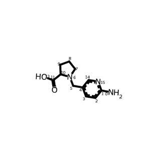 Nc1ccc(CN2CCCC2C(=O)O)cn1